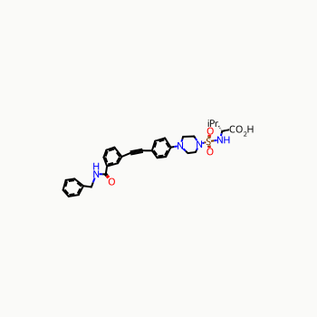 CC(C)[C@@H](NS(=O)(=O)N1CCN(c2ccc(C#Cc3cccc(C(=O)NCc4ccccc4)c3)cc2)CC1)C(=O)O